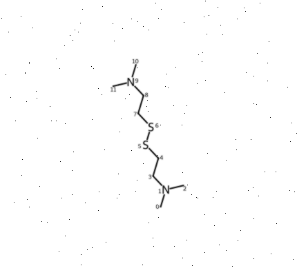 CN(C)CCSSCCN(C)C